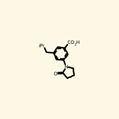 CC(C)Cc1cc(C(=O)O)cc(N2CCCC2=O)c1